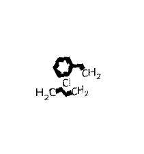 C=CC=C.C=Cc1ccccc1.[C]